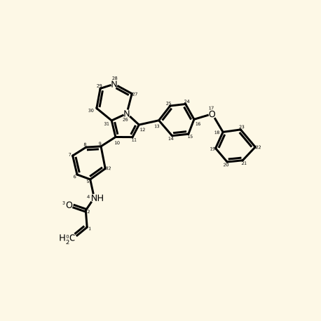 C=CC(=O)Nc1cccc(-c2cc(-c3ccc(Oc4ccccc4)cc3)n3cnccc23)c1